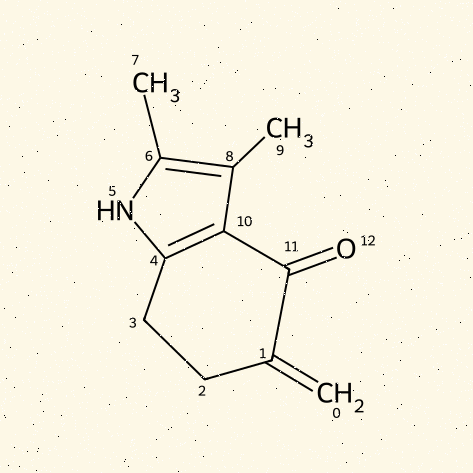 C=C1CCc2[nH]c(C)c(C)c2C1=O